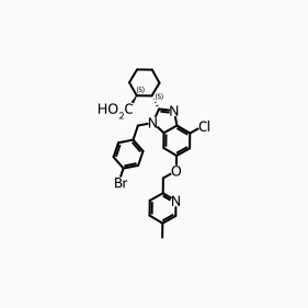 Cc1ccc(COc2cc(Cl)c3nc([C@H]4CCCC[C@@H]4C(=O)O)n(Cc4ccc(Br)cc4)c3c2)nc1